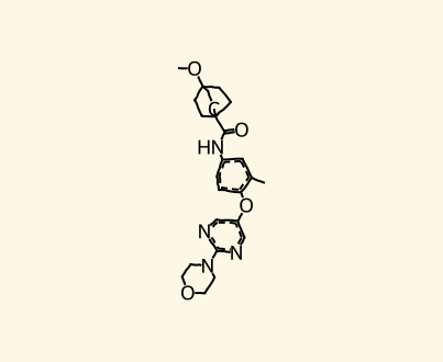 COC12CCC(C(=O)Nc3ccc(Oc4cnc(N5CCOCC5)nc4)c(C)c3)(CC1)CC2